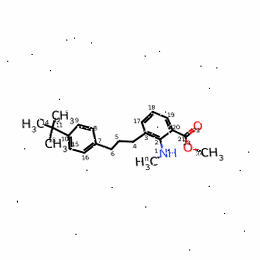 CNc1c(CCCc2ccc(C(C)(C)C)cc2)cccc1C(=O)OC